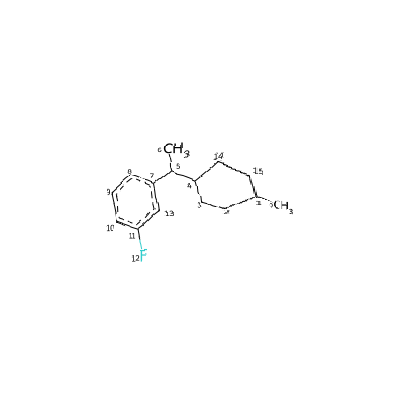 CC1CCC(C(C)c2cccc(F)c2)CC1